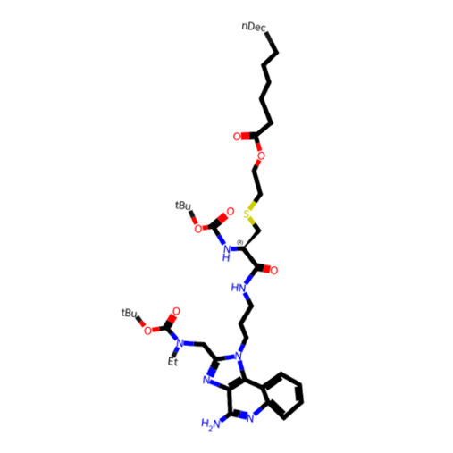 CCCCCCCCCCCCCCCC(=O)OCCSC[C@H](NC(=O)OC(C)(C)C)C(=O)NCCCn1c(CN(CC)C(=O)OC(C)(C)C)nc2c(N)nc3ccccc3c21